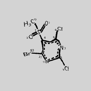 CS(=O)(=O)c1c(Cl)nc(Cl)nc1Br